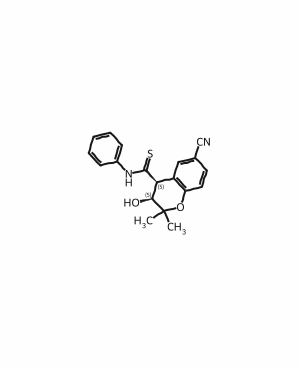 CC1(C)Oc2ccc(C#N)cc2[C@H](C(=S)Nc2ccccc2)[C@@H]1O